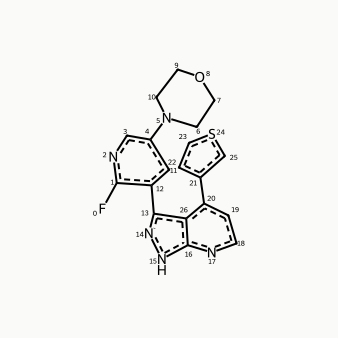 Fc1ncc(N2CCOCC2)cc1-c1n[nH]c2nccc(-c3ccsc3)c12